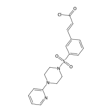 O=C(Cl)C=Cc1cccc(S(=O)(=O)N2CCN(c3ccccn3)CC2)c1